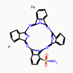 NS(=O)(=O)c1cccc2c3nc4nc(nc5[nH]c(nc6nc(nc([nH]3)c12)-c1ccccc1-6)c1ccccc51)-c1ccccc1-4.[Fe].[V]